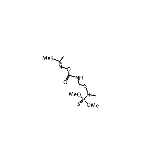 COP(=S)(OC)N(C)SCNC(=O)O/N=C(\C)SC